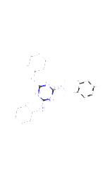 c1ccc(SNc2nc(NC3CCCCC3)nc(NC3CCCCC3)n2)cc1